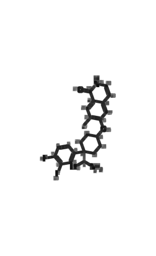 CCC(N)C1(c2ccc(F)c(F)c2)CCC(Oc2cc3cc[nH]c(=O)c3cc2C)CC1